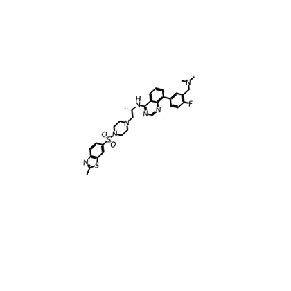 Cc1nc2ccc(S(=O)(=O)N3CCN(C[C@H](C)Nc4ncnc5c(-c6ccc(F)c(CN(C)C)c6)cccc45)CC3)cc2s1